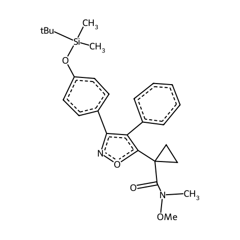 CON(C)C(=O)C1(c2onc(-c3ccc(O[Si](C)(C)C(C)(C)C)cc3)c2-c2ccccc2)CC1